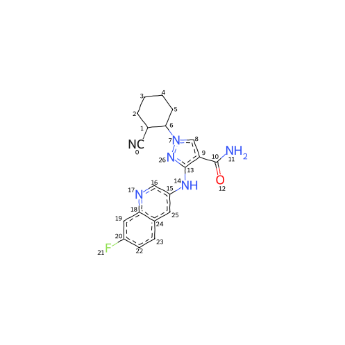 N#CC1CCCCC1n1cc(C(N)=O)c(Nc2cnc3cc(F)ccc3c2)n1